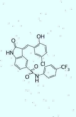 O=C1Nc2ccc(S(=O)(=O)Nc3ccc(C(F)(F)F)cc3)cc2C1=Cc1cc(Cl)ccc1O